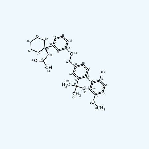 COc1ccc(F)c(-c2ccc(COc3cccc(C4(CC(=O)O)CCCCC4)c3)cc2C(C)(C)C)c1